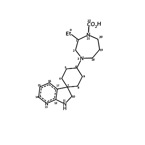 CCC1CN(C2CCC3(CC2)CNc2ncccc23)CCCN1C(=O)O